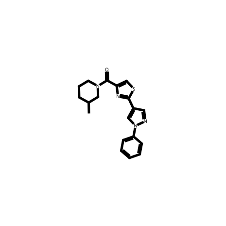 CC1CCCN(C(=O)c2csc(-c3cnn(-c4ccccc4)c3)n2)C1